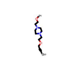 CC(C)OCCN1CCN(CCOCC#CC(C)(C)C)CC1